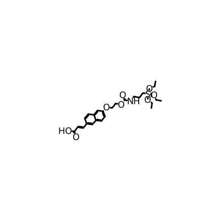 CCO[Si](CCCNC(=O)OCCOc1ccc2cc(C=CC(=O)O)ccc2c1)(OCC)OCC